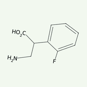 NCC(C(=O)O)c1ccccc1F